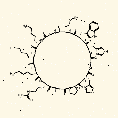 CC(C)SSC[C@@H]1NC(=O)[C@H](Cc2c[nH]c3ccccc23)NC(=O)[C@H](Cc2c[nH]cn2)NC(=O)CNC(=O)[C@H](Cc2c[nH]cn2)NC(=O)[C@@H]2CCCN2C(=O)CNC(=O)[C@H](CCCNC(=N)N)NC(=O)[C@H](CCCCN)NC(=O)[C@H](CCCCN)NC(=O)[C@H](CCCCN)NC(=O)[C@H](C)NC1=O